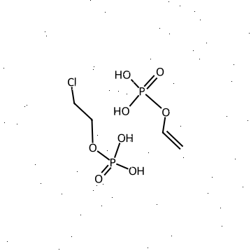 C=COP(=O)(O)O.O=P(O)(O)OCCCl